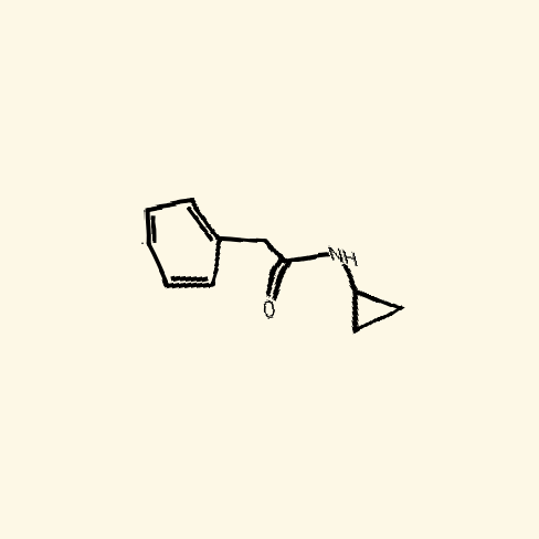 O=C(Cc1cc[c]cc1)NC1CC1